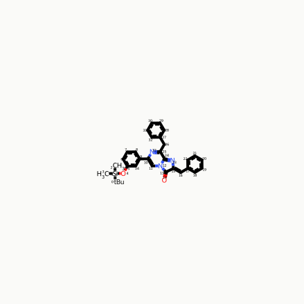 CC(C)(C)[Si](C)(C)Oc1cccc(C2=CN3C(=O)C(=Cc4ccccc4)N=C3C(Cc3ccccc3)=N2)c1